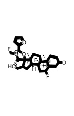 C[C@]12CC[C@]3(F)[C@@H](CC(F)C4=CC(=O)C=C[C@@]43C)[C@@H]1CC(CO)C2(OC(=O)c1ccco1)C(=S)OCF